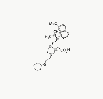 COc1ccc2nccc([C@@H](CC[C@@H]3CCN(CCSC4CCCCC4)C[C@@H]3CC(=O)O)N(C)C)c2c1